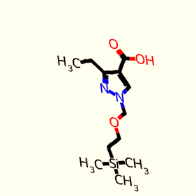 CCc1nn(COCC[Si](C)(C)C)cc1C(=O)O